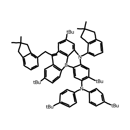 C=C(Cc1cccc2c1CC(C)(C)C2)c1cc(C(C)(C)C)ccc1B1c2cc(N(c3ccc(C(C)(C)C)cc3)c3ccc(C(C)(C)C)cc3)c(C(C)(C)C)cc2N(c2cccc3c2CC(C)(C)C3)c2cc(C(C)(C)C)cc(C)c21